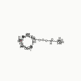 CC(C)C[C@@H]1NC(=O)[C@H](Cc2c[nH]cn2)NC(=O)[C@H](C(C)C)NC(=O)[C@@H](N)Cc2cn(nn2)CCCC[C@@H](C(=O)NCCCOCCOCCOCCCNC(=O)CCCCC2SC[C@H]3NC(=O)N[C@@H]23)NC(=O)CNC(=O)[C@H](CO)NC1=O